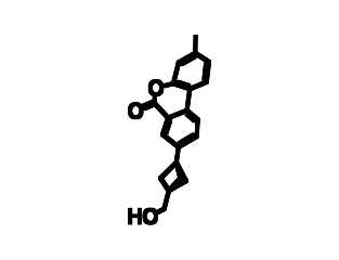 Cc1ccc2c(c1)oc(=O)c1cc(C34CC(CO)(C3)C4)ccc12